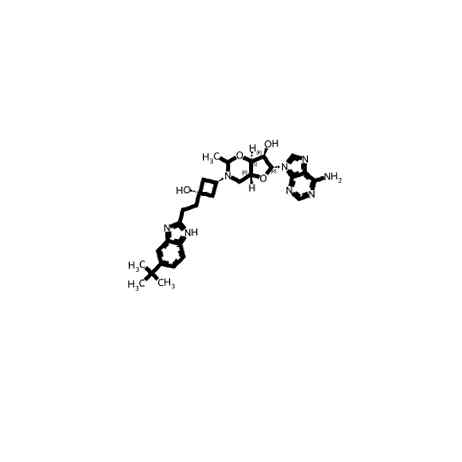 CC1O[C@H]2[C@@H](O)[C@H](n3cnc4c(N)ncnc43)O[C@@H]2CN1[C@H]1C[C@](O)(CCc2nc3cc(C(C)(C)C)ccc3[nH]2)C1